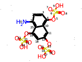 Nc1ccc(OS(=O)(=O)O)c2cc(OS(=O)(=O)O)cc(OS(=O)(=O)O)c12